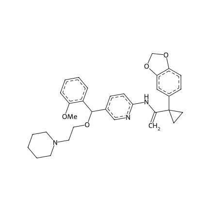 C=C(Nc1ccc(C(OCCN2CCCCC2)c2ccccc2OC)cn1)C1(c2ccc3c(c2)OCO3)CC1